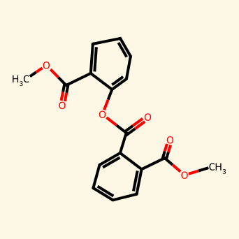 COC(=O)c1ccccc1OC(=O)c1ccccc1C(=O)OC